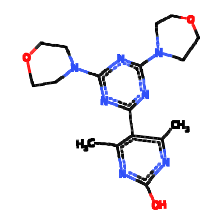 Cc1nc(O)nc(C)c1-c1nc(N2CCOCC2)nc(N2CCOCC2)n1